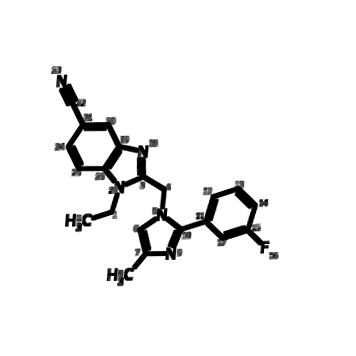 CCn1c(Cn2cc(C)nc2-c2cccc(F)c2)nc2cc(C#N)ccc21